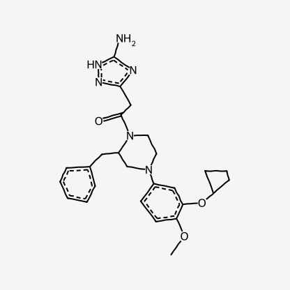 COc1ccc(N2CCN(C(=O)Cc3n[nH]c(N)n3)C(Cc3ccccc3)C2)cc1OC1CCC1